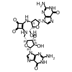 Nc1nc2c(ncn2[C@@H]2O[C@H](CNc3c(N[C@H]4C[C@H](n5cnc6c(=O)[nH]c(N)nc65)O[C@@H]4CO)c(=O)c3=O)[C@H](O)[C@H]2O)c(=O)[nH]1